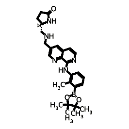 Cc1c(Nc2nccc3cc(CNC[C@@H]4CCC(=O)N4)cnc23)cccc1B1OC(C)(C)C(C)(C)O1